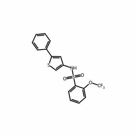 O=S(=O)(Nc1csc(-c2ccccc2)c1)c1ccccc1OC(F)(F)F